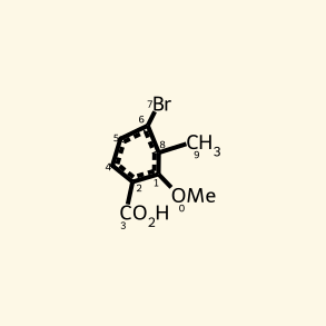 COc1c(C(=O)O)ccc(Br)c1C